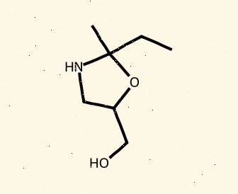 CCC1(C)NCC(CO)O1